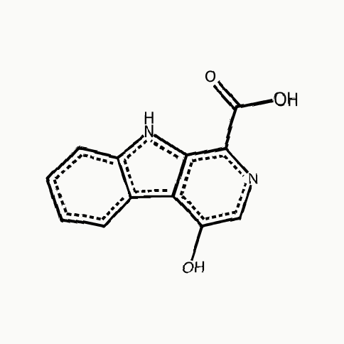 O=C(O)c1ncc(O)c2c1[nH]c1ccccc12